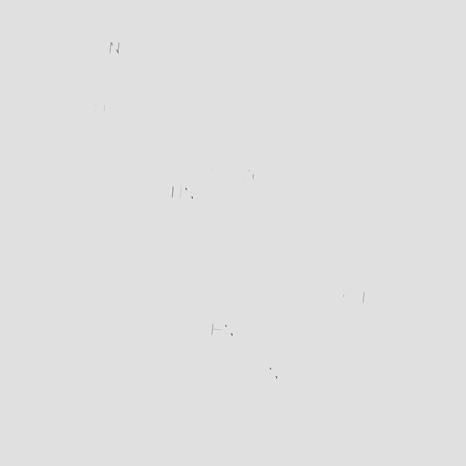 Cc1cc(NC2CCC(NC(=O)c3cccc(C(N)=O)c3)CC2)nc2ccccc12